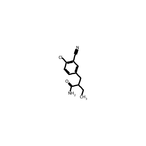 CCC(Cc1ccc(Cl)c(C#N)c1)C(N)=O